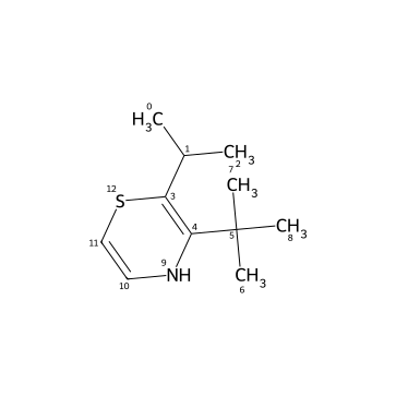 CC(C)C1=C(C(C)(C)C)NC=CS1